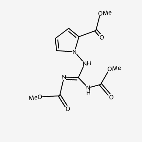 COC(=O)N=C(NC(=O)OC)Nn1cccc1C(=O)OC